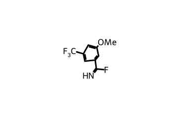 COc1cc(C(=N)F)cc(C(F)(F)F)c1